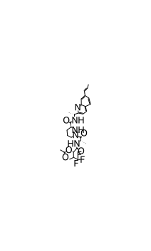 C/C=C/c1ccc2ccc([C@@H](C)NC(=O)[C@@H]3CCCN(C(=O)[C@H](C)NC(=O)[C@@H](OC(C)=O)C(C)C(F)(F)F)N3)nc2c1